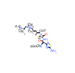 CO/N=C(\C(=O)N[C@@H]1C(=O)N2C(C(=O)[O-])=C(/C=C/C[N+](C)(C)CCN(C)C)CS[C@@H]12)c1nsc(N)n1